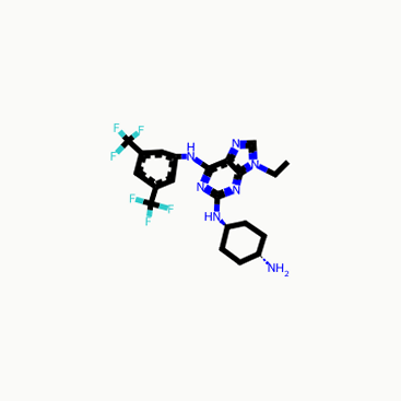 CCn1cnc2c(Nc3cc(C(F)(F)F)cc(C(F)(F)F)c3)nc(N[C@H]3CC[C@H](N)CC3)nc21